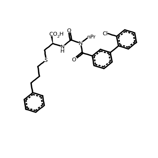 CCCN(C(=O)N[C@@H](CSCCCc1ccccc1)C(=O)O)C(=O)c1cccc(-c2ccccc2Cl)c1